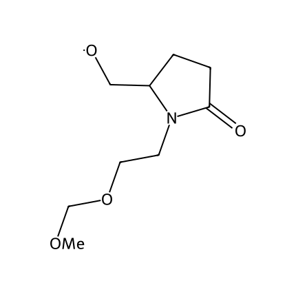 COCOCCN1C(=O)CCC1C[O]